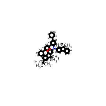 CC(C)(C)c1ccc2c(c1)C(C)(C)c1cc(N(c3ccc4c(c3)C(C)(C)c3ccccc3-4)c3ccc(C4CCCCC4)cc3-c3ccc(C4CCCCC4)cc3)ccc1-2